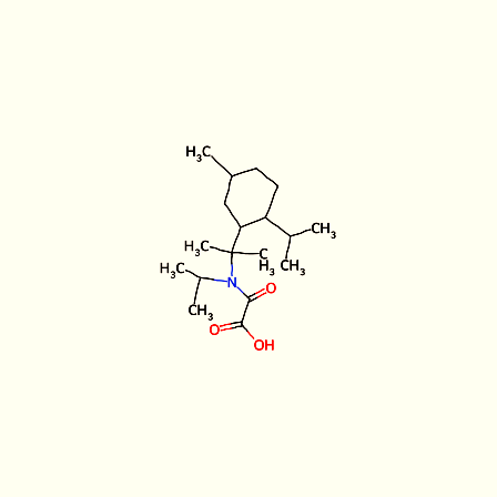 CC1CCC(C(C)C)C(C(C)(C)N(C(=O)C(=O)O)C(C)C)C1